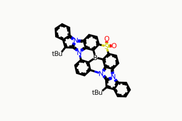 CC(C)(C)c1c2ccccc2n2c3ccc4c5c3n(c12)-c1cccc2c1B5c1c(ccc3c1n-2c1c(C(C)(C)C)c2ccccc2n31)S4(=O)=O